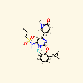 CCCS(=O)(=O)Nc1cc(-c2ccc(=O)n(C)c2)nc(Oc2c(F)cccc2C2CC2)n1